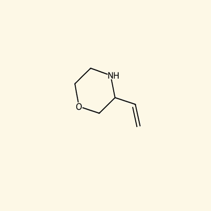 C=CC1COCCN1